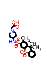 Cc1cc2c(cc1S(=O)(=O)NC1CCN(CC(=O)O)CC1)S(=O)(=O)c1ccccc1C2(C)C